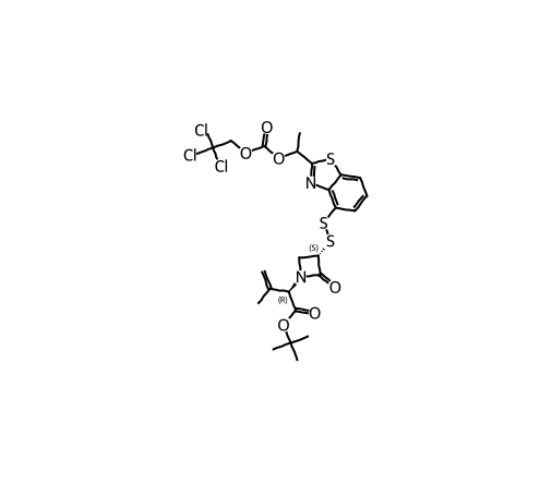 C=C(C)[C@H](C(=O)OC(C)(C)C)N1C[C@H](SSc2cccc3sc(C(C)OC(=O)OCC(Cl)(Cl)Cl)nc23)C1=O